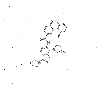 C[C@@H]1CCN(c2c(NC(=O)c3ccc(=O)n(-c4c(F)cccc4F)n3)ccc3c2cnn3[C@H]2CCOC2)C1